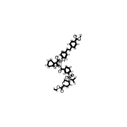 CCOC(=O)C1CCC(N(C(C)C)S(=O)(=O)c2cccc(C(=O)Nc3sc4c(c3C(=O)Nc3ccc(CCc5ccc(C(=O)OC)cc5)cc3)CCCC4)c2)CC1